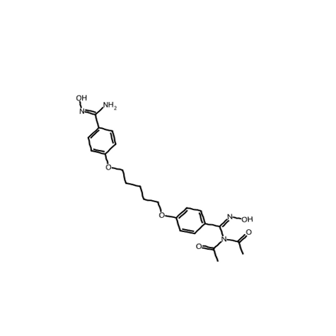 CC(=O)N(C(C)=O)C(=NO)c1ccc(OCCCCCOc2ccc(C(N)=NO)cc2)cc1